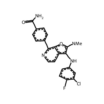 CNc1oc2c(-c3ccc(C(N)=O)cc3)nccc2c1Nc1ccc(F)c(Cl)c1